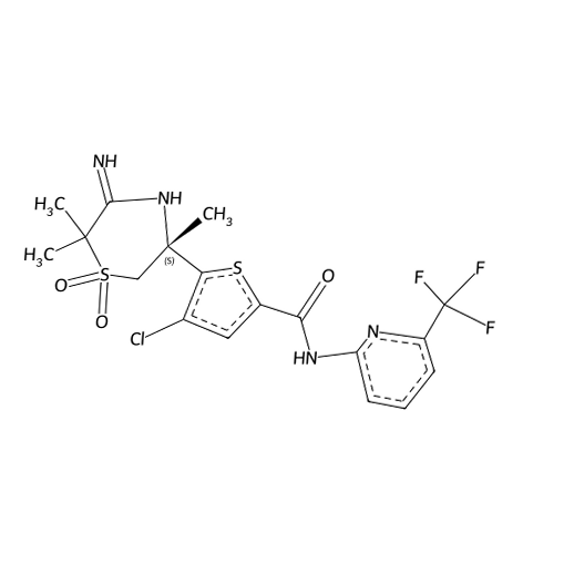 CC1(C)C(=N)N[C@](C)(c2sc(C(=O)Nc3cccc(C(F)(F)F)n3)cc2Cl)CS1(=O)=O